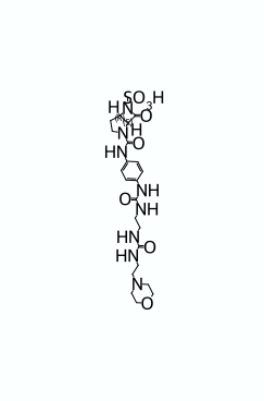 O=C(NCCNC(=O)Nc1ccc(NC(=O)N2CC[C@@H]3[C@H]2C(=O)N3S(=O)(=O)O)cc1)NCCN1CCOCC1